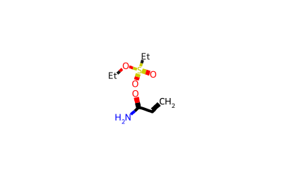 C=CC(N)=O.CCOS(=O)(=O)CC